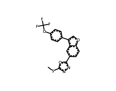 CSc1nnc(-c2ccc3occ(-c4ccc(OC(F)(F)F)cc4)c3c2)o1